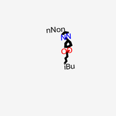 CCCCCCCCCc1cnc(-c2ccc(OC(=O)CCCCC(C)CC)cc2)nc1